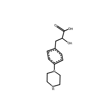 O=C(O)C(O)Cc1ccc(N2CCNCC2)cc1